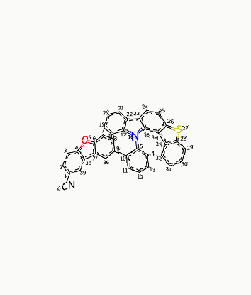 N#Cc1ccc2oc3ccc(-c4ccccc4-n4c5ccccc5c5ccc6sc7ccccc7c6c54)cc3c2c1